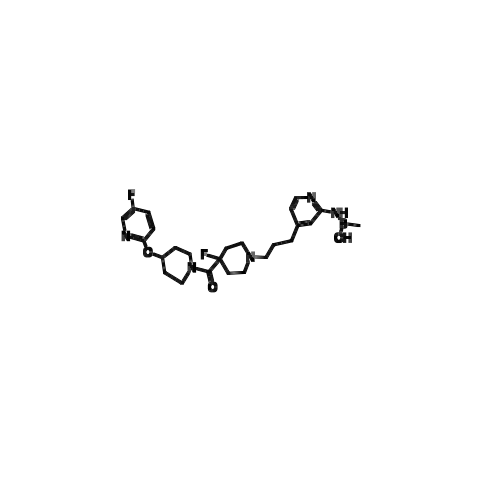 CB(O)Nc1cc(CCCN2CCC(F)(C(=O)N3CCC(Oc4ccc(F)cn4)CC3)CC2)ccn1